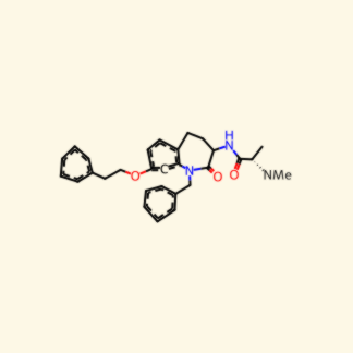 CN[C@@H](C)C(=O)NC1CCc2ccc(OCCc3ccccc3)cc2N(Cc2ccccc2)C1=O